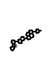 Cc1ccc(-c2ccc3ccc4c(-c5ccc6cc(-c7cccc8c7oc7ccccc78)ccc6c5)ccc5ccc2c3c54)cc1